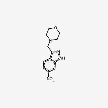 O=[N+]([O-])c1ccc2c(CN3CCOCC3)n[nH]c2c1